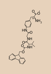 COC(=O)[C@@H](N)Cc1ccc(NC(=O)CNC(=O)C(NC(=O)OCC2c3ccccc3-c3ccccc32)C(C)C)cc1